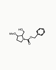 COC1CCN(C(=O)OCc2ccccc2)C1CO